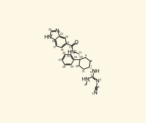 CN/C(=N\C#N)N[C@H]1CC[C@](CNC(=O)c2ccc3[nH]cnc3c2)(c2ccccc2)CC1